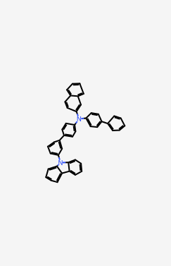 c1ccc(-c2ccc(N(c3ccc(-c4cccc(-n5c6ccccc6c6ccccc65)c4)cc3)c3ccc4ccccc4c3)cc2)cc1